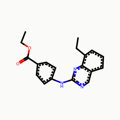 CCOC(=O)c1ccc(Nc2ncc3cccc(CC)c3n2)cc1